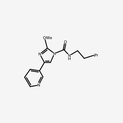 COc1nc(-c2cccnc2)cn1C(=O)NCCC(C)C